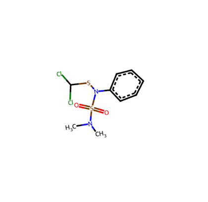 CN(C)S(=O)(=O)N(SC(Cl)Cl)c1ccccc1